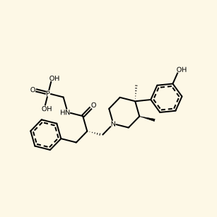 C[C@H]1CN(C[C@H](Cc2ccccc2)C(=O)NCP(=O)(O)O)CC[C@@]1(C)c1cccc(O)c1